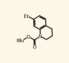 CCc1ccc2c(c1)N(C(=O)OC(C)(C)C)CCC2